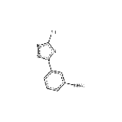 CC(=O)Nc1cccc(-n2nnc(S)n2)c1